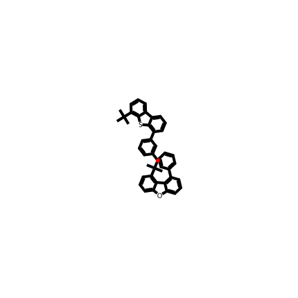 CC(C)(C)c1cccc2c1sc1c(-c3cccc(CC(C)(C)c4cccc5oc6cccc(-c7ccccc7)c6c45)c3)cccc12